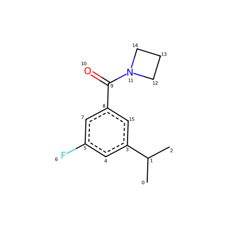 CC(C)c1cc(F)cc(C(=O)N2CCC2)c1